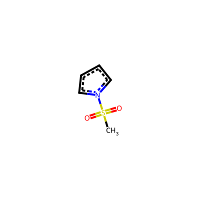 CS(=O)(=O)n1cccc1